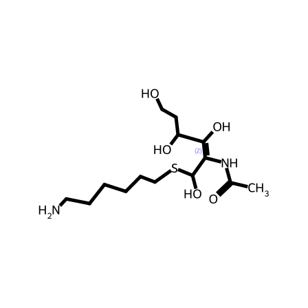 CC(=O)N/C(=C(\O)C(O)CCO)C(O)SCCCCCCN